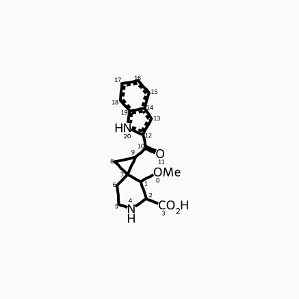 COC1C(C(=O)O)NCCC12CC2C(=O)c1cc2ccccc2[nH]1